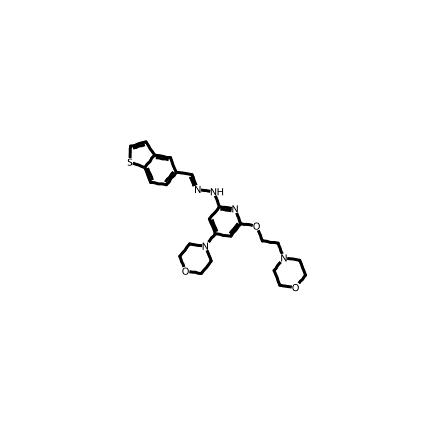 C(=N\Nc1cc(N2CCOCC2)cc(OCCN2CCOCC2)n1)/c1ccc2sccc2c1